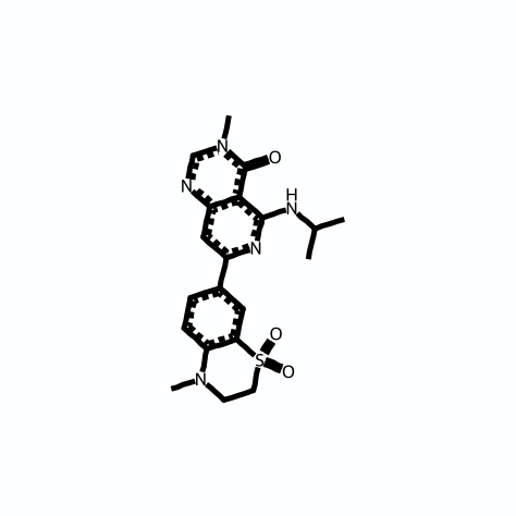 CC(C)Nc1nc(-c2ccc3c(c2)S(=O)(=O)CCN3C)cc2ncn(C)c(=O)c12